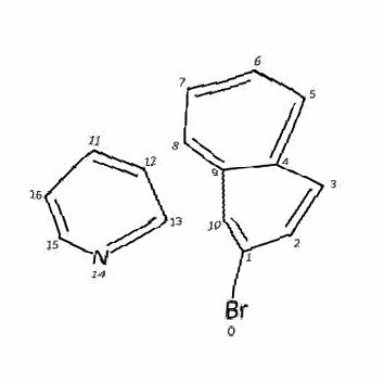 Brc1ccc2ccccc2c1.c1ccncc1